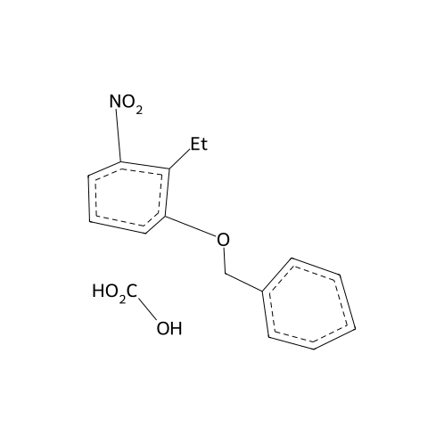 CCc1c(OCc2ccccc2)cccc1[N+](=O)[O-].O=C(O)O